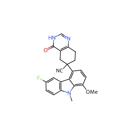 COc1ccc(C2(C#N)CCc3nc[nH]c(=O)c3C2)c2c3cc(F)ccc3n(C)c12